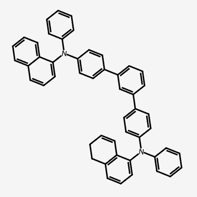 C1=Cc2c(cccc2N(c2ccccc2)c2ccc(-c3cccc(-c4ccc(N(c5ccccc5)c5cccc6ccccc56)cc4)c3)cc2)CC1